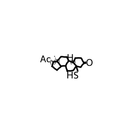 CC(=O)[C@H]1CCC2C3CCC4(CS)CC(=O)CC[C@@H]4C3CC[C@@]21C